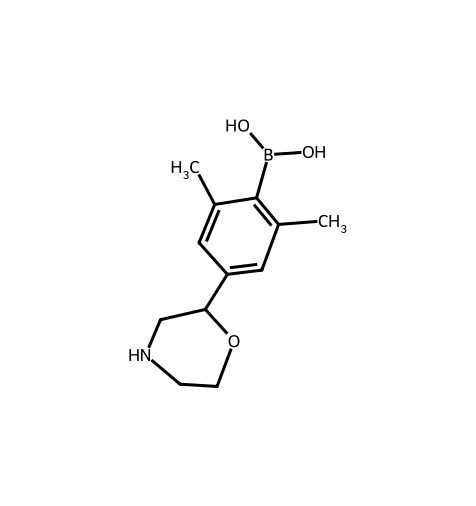 Cc1cc(C2CNCCO2)cc(C)c1B(O)O